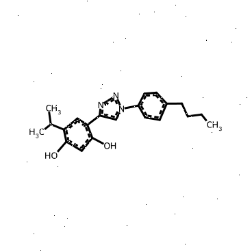 CCCCc1ccc(-n2cc(-c3cc(C(C)C)c(O)cc3O)nn2)cc1